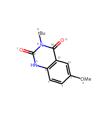 COc1ccc2[nH]c(=O)n(C(C)(C)C)c(=O)c2c1